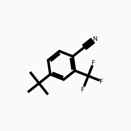 CC(C)(C)c1ccc(C#N)c(C(F)(F)F)c1